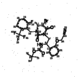 Cc1c(Br)c(=O)n(CC(NC(=O)OC(C)(C)C)c2ccccc2OCC#N)c(=O)n1Cc1c(F)cccc1C(F)(F)F